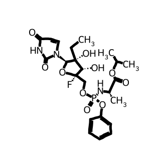 CC[C@]1(O)[C@H](n2ccc(=O)[nH]c2=O)O[C@](F)(COP(=O)(N[C@@H](C)C(=O)OC(C)C)Oc2ccccc2)[C@H]1O